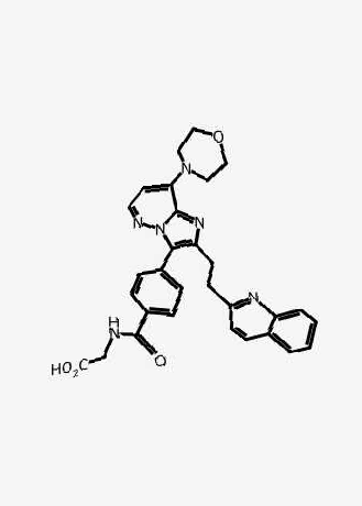 O=C(O)CNC(=O)c1ccc(-c2c(CCc3ccc4ccccc4n3)nc3c(N4CCOCC4)ccnn23)cc1